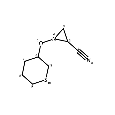 N#CC1CN1OC1CCCSC1